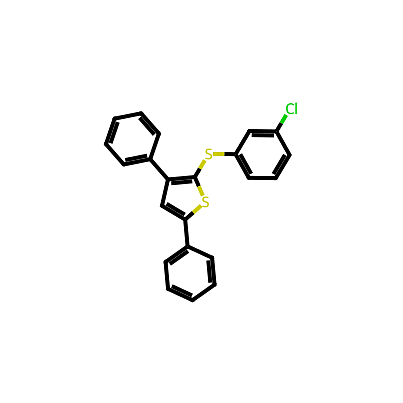 Clc1cccc(Sc2sc(-c3ccccc3)cc2-c2ccccc2)c1